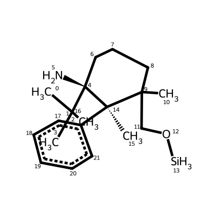 CC(C)(C)[C@]1(N)CCCC(C)(CO[SiH3])[C@@]1(C)c1ccccc1